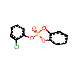 O=P1(Oc2ccccc2Cl)Oc2ccccc2O1